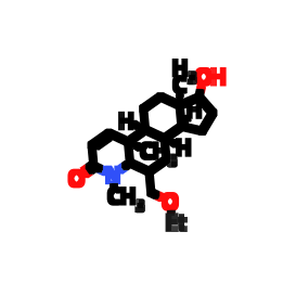 CCOCC1C[C@@H]2[C@@H](CC[C@]3(C)C(O)CC[C@@H]23)[C@@]2(C)C=CC(=O)N(C)C12